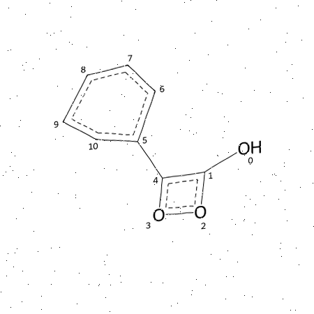 Oc1ooc1-c1ccccc1